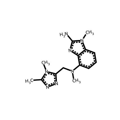 Cc1nnc(CN(C)c2cccc3c2nc(N)n3C)n1C